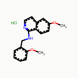 COc1ccc2c(NCc3ccccc3OC)nccc2c1.Cl